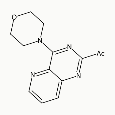 CC(=O)c1nc(N2CCOCC2)c2ncccc2n1